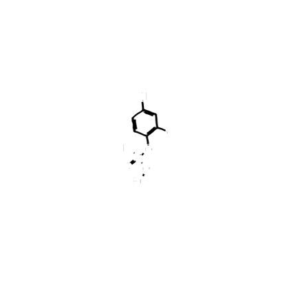 CCOP(O)(=S)Oc1ccc(Cl)cc1Cl